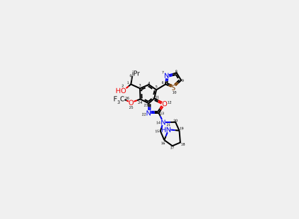 CC(C)C(O)c1cc(-c2nccs2)c2oc(N3CC4CCC(C3)N4)nc2c1OC(F)(F)F